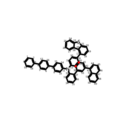 c1ccc(-c2ccc(-c3ccc(N(c4ccc(-c5cccc6sc7ccccc7c56)cc4)c4ccccc4-c4cccc(-c5cccc6ccccc56)c4)cc3)cc2)cc1